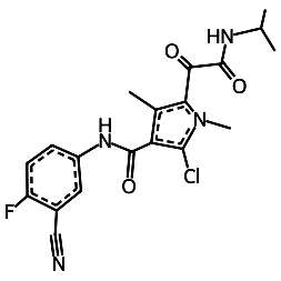 Cc1c(C(=O)Nc2ccc(F)c(C#N)c2)c(Cl)n(C)c1C(=O)C(=O)NC(C)C